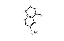 CC(=O)Oc1ccc2c(c1)N(C)CCS2